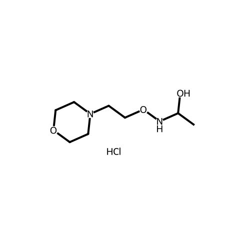 CC(O)NOCCN1CCOCC1.Cl